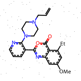 C=CCN1CCN(c2ncccc2-c2nc3cc(OC)cc(CC)c3c(=O)o2)CC1